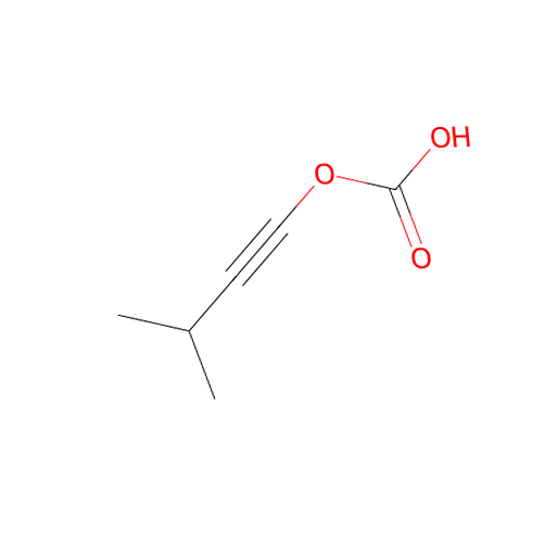 CC(C)C#COC(=O)O